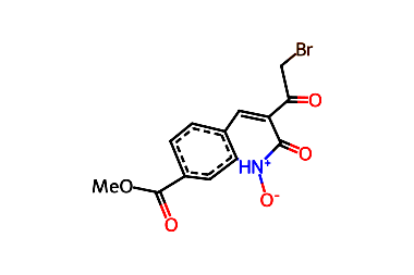 COC(=O)c1ccc2c(c1)[NH+]([O-])C(=O)C(C(=O)CBr)=C2